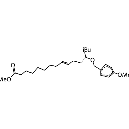 CC[C@H](C)[C@@H](CCC=CCCCCCCCC(=O)OC)OCc1ccc(OC)cc1